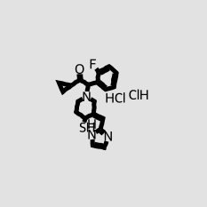 Cl.Cl.O=C(C1CC1)C(c1ccccc1F)N1CCC(S)/C(=C\c2ncc[nH]2)C1